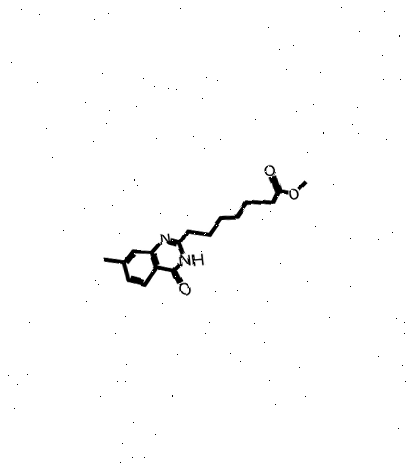 COC(=O)CCCCCCc1nc2cc(C)ccc2c(=O)[nH]1